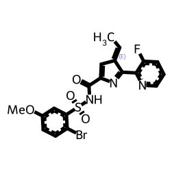 C/C=C1\C=C(C(=O)NS(=O)(=O)c2cc(OC)ccc2Br)N=C1c1ncccc1F